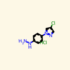 Cl.NNc1ccc(-n2cc(Cl)cn2)cc1